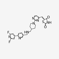 O=C1NC(=O)C(=Cc2ccnc(N3CCC(CNCc4ccc(-c5cc(F)nc(F)c5)nc4)CC3)n2)S1